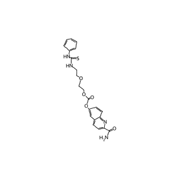 NC(=O)c1ccc2cc(OC(=O)OCCOCCNC(=S)Nc3ccccc3)ccc2n1